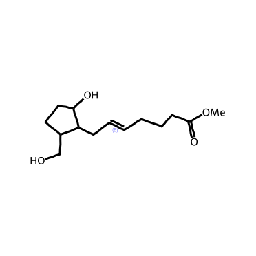 COC(=O)CCC/C=C/CC1C(O)CCC1CO